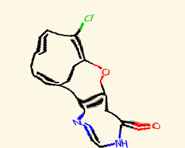 O=c1[nH]cnc2c1oc1c(Cl)cccc12